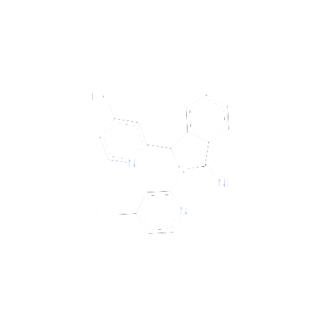 N=C1c2ccccc2C(c2cc(C(F)(F)F)ccn2)N1c1cc(C(F)(F)F)ccn1